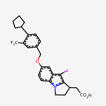 O=C(O)CC1CCn2c1c(I)c1cc(OCc3ccc(C4CCCC4)c(C(F)(F)F)c3)ccc12